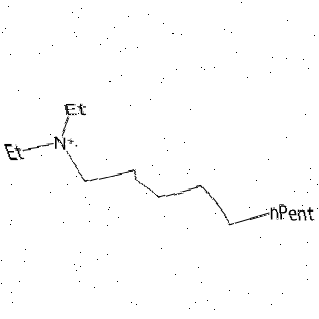 CCCCCCCCCC[N+](CC)CC